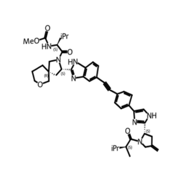 C=C1C[C@@H](c2nc(-c3ccc(C#Cc4ccc5[nH]c([C@@H]6C[C@]7(CCCOC7)CN6C(=O)[C@@H](NC(=O)OC)C(C)C)nc5c4)cc3)c[nH]2)N(C(=O)[C@@H](C)C(C)C)C1